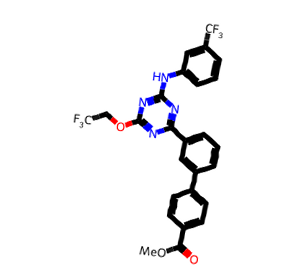 COC(=O)c1ccc(-c2cccc(-c3nc(Nc4cccc(C(F)(F)F)c4)nc(OCC(F)(F)F)n3)c2)cc1